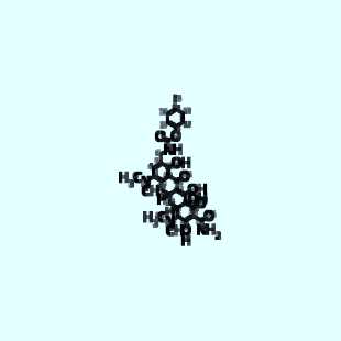 CN(C)c1cc(CNC(=O)Oc2ccc(I)cc2)c(O)c2c1C[C@H]1C[C@H]3[C@H](N(C)C)C(O)=C(C(N)=O)C(=O)[C@@]3(O)C(O)=C1C2=O